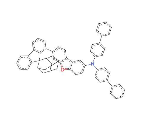 c1ccc(-c2ccc(N(c3ccc(-c4ccccc4)cc3)c3ccc4oc5cc(-c6cccc7c6C6(c8ccccc8-7)C7CC8CC(C7)CC6C8)ccc5c4c3)cc2)cc1